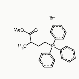 COC(=O)C(C)CC[P+](c1ccccc1)(c1ccccc1)c1ccccc1.[Br-]